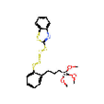 CO[Si](CCCc1ccccc1SSSSc1nc2ccccc2s1)(OC)OC